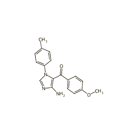 COc1ccc(C(=O)c2c(N)ncn2-c2ccc(C)cc2)cc1